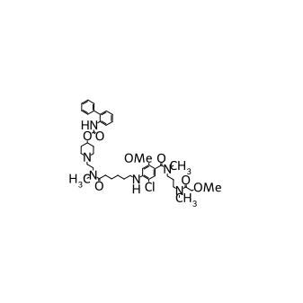 COCC(=O)N(C)CCCN(C)C(=O)c1cc(Cl)c(NCCCCCC(=O)N(C)CCN2CCC(OC(=O)Nc3ccccc3-c3ccccc3)CC2)cc1OC